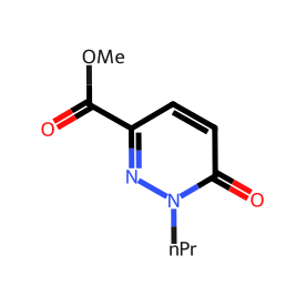 CCCn1nc(C(=O)OC)ccc1=O